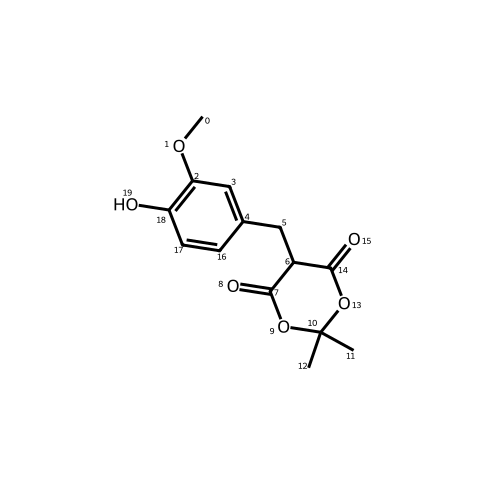 COc1cc(CC2C(=O)OC(C)(C)OC2=O)ccc1O